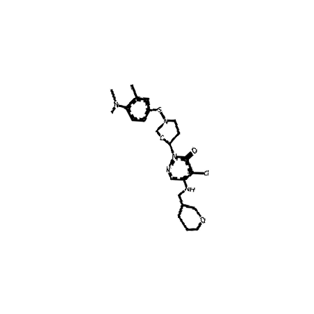 Cc1cc(SN2CCC(n3ncc(NCC4CCCOC4)c(Cl)c3=O)CC2)ccc1N(C)C